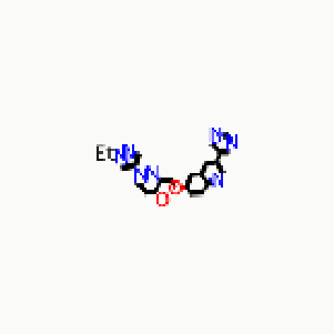 CCn1cc(-n2ccc(=O)c(COc3ccc4ncc(-c5cncnc5)cc4c3)n2)cn1